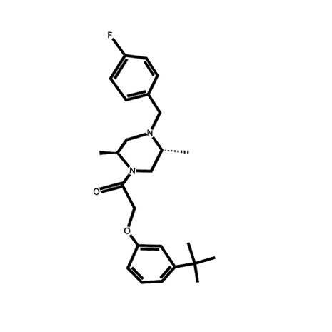 C[C@@H]1CN(C(=O)COc2cccc(C(C)(C)C)c2)[C@@H](C)CN1Cc1ccc(F)cc1